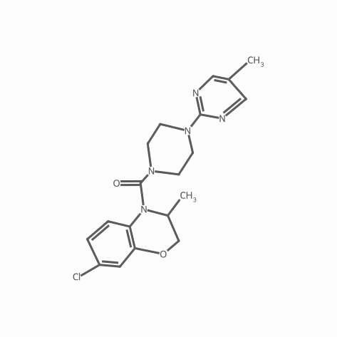 Cc1cnc(N2CCN(C(=O)N3c4ccc(Cl)cc4OCC3C)CC2)nc1